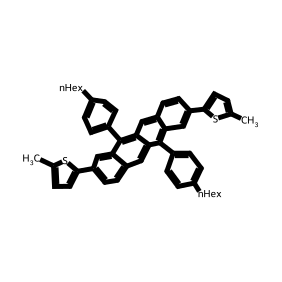 CCCCCCc1ccc(-c2c3cc(-c4ccc(C)s4)ccc3cc3c(-c4ccc(CCCCCC)cc4)c4cc(-c5ccc(C)s5)ccc4cc23)cc1